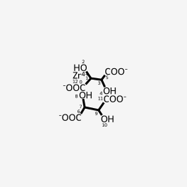 O=C([O-])C(O)C(O)C(=O)[O-].O=C([O-])C(O)C(O)C(=O)[O-].[Zr+4]